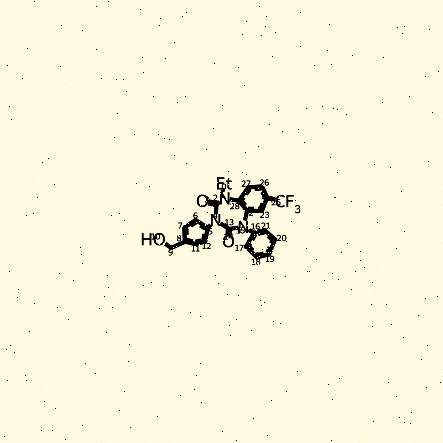 CCN1C(=O)N(c2ccc(CO)cc2)C(=O)N(c2ccccc2)c2cc(C(F)(F)F)ccc21